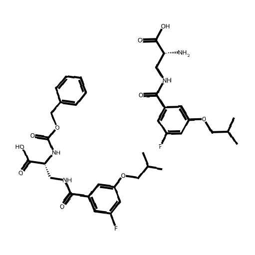 CC(C)COc1cc(F)cc(C(=O)NC[C@@H](N)C(=O)O)c1.CC(C)COc1cc(F)cc(C(=O)NC[C@@H](NC(=O)OCc2ccccc2)C(=O)O)c1